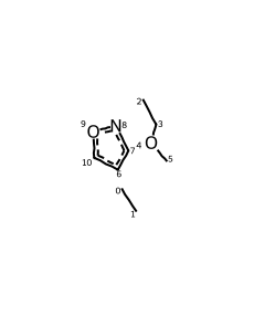 CC.CCOC.c1cnoc1